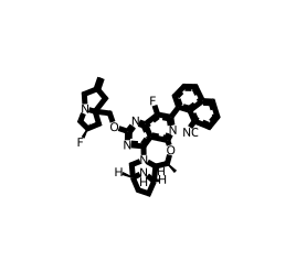 C=C1CN2C[C@H](F)CC2(COc2nc3c4c(nc(-c5cccc6cccc(C#N)c56)c(F)c4n2)O[C@@H](C)[C@@H]2[C@@H]4CC[C@H](CN32)N4)C1